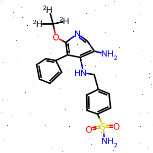 [2H]C([2H])([2H])Oc1ncc(N)c(NCc2ccc(S(N)(=O)=O)cc2)c1-c1ccccc1